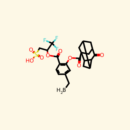 BCc1ccc(C(=O)OC(CS(=O)(=O)O)C(F)(F)F)c(OC(=O)C23CC4CC(C2)C2CC3C2C4=O)c1